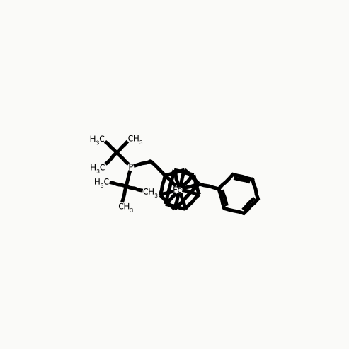 CC(C)(C)P(C[C]12[CH]3[CH]4[C]5(c6ccccc6)[CH]1[Fe]34251678[CH]2[CH]1[CH]6[CH]7[CH]28)C(C)(C)C